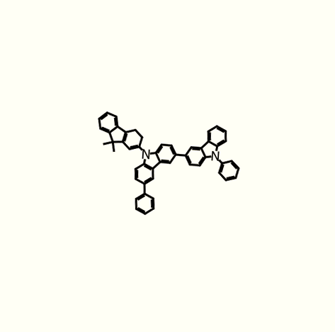 CC1(C)C2=C(CCC(n3c4ccc(-c5ccccc5)cc4c4cc(-c5ccc6c(c5)c5ccccc5n6-c5ccccc5)ccc43)=C2)c2ccccc21